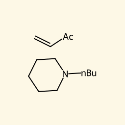 C=CC(C)=O.CCCCN1CCCCC1